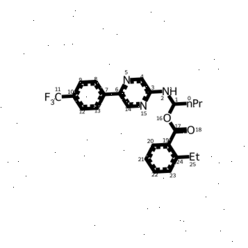 CCCC(Nc1cnc(-c2ccc(C(F)(F)F)cc2)cn1)OC(=O)c1ccccc1CC